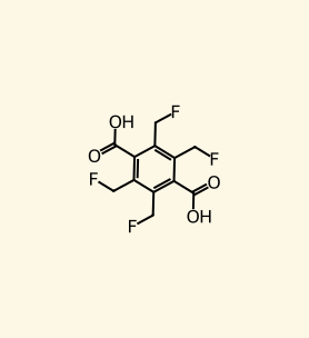 O=C(O)c1c(CF)c(CF)c(C(=O)O)c(CF)c1CF